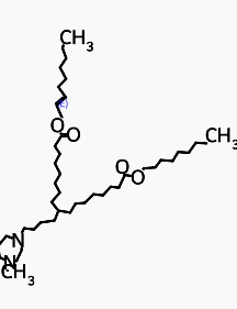 CCCCCC/C=C/COC(=O)CCCCCCCC(CCCCCCCC(=O)OCCCCCCCCC)CCCCN1CCCN(C)CC1